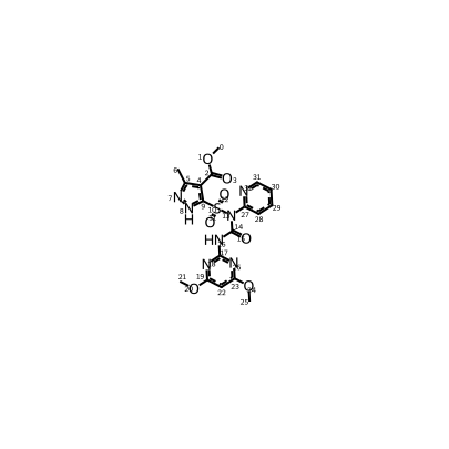 COC(=O)c1c(C)n[nH]c1S(=O)(=O)N(C(=O)Nc1nc(OC)cc(OC)n1)c1ccccn1